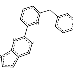 c1ccc(Cc2cccc(-c3ncc4ccsc4n3)n2)cc1